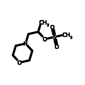 CC(CN1CCOCC1)OS(C)(=O)=O